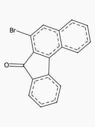 O=C1c2ccccc2-c2c1c(Br)cc1ccccc21